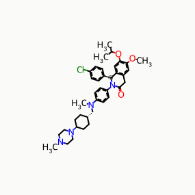 COc1cc2c(cc1OC(C)C)[C@H](c1ccc(Cl)cc1)N(c1ccc(N(C)C[C@H]3CC[C@H](N4CCN(C)CC4)CC3)cc1)C(=O)C2